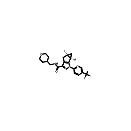 O=C(NCC1CCOCC1)c1nn(-c2ccc(C(F)(F)F)cn2)c2c1C[C@H]1C[C@@H]21